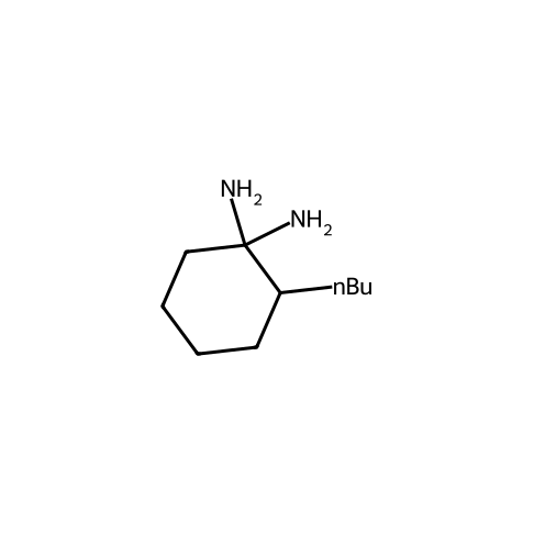 CCCCC1CCCCC1(N)N